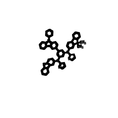 CC1(C)c2ccccc2-c2ccc(N(c3cc(-c4ccc5c(c4)c4ccccc4n5-c4ccccc4)cc(N(c4ccc5sc6ccccc6c5c4)c4cccs4)c3)C3CC=CS3)cc21